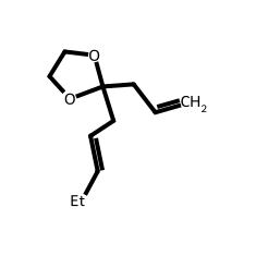 C=CCC1(CC=CCC)OCCO1